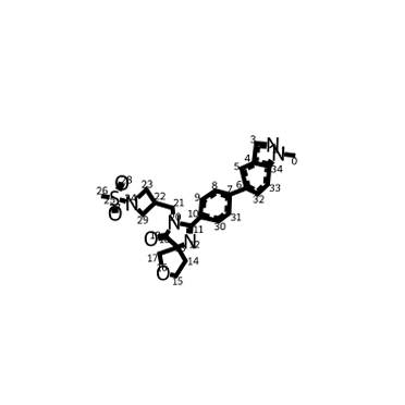 Cn1ncc2cc(-c3ccc(C4=NC5(CCOC5)C(=O)N4CC4CN(S(C)(=O)=O)C4)cc3)ccc21